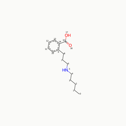 CCCCCNCCCc1ccccc1C(=O)O